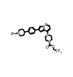 CC(C)N1CCC(c2ccc(-c3cc4c(N5CCN(C(=O)OCC(F)(F)F)CC5)ccnn4c3)cc2)CC1